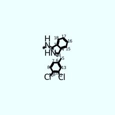 CN[C@@H]1N[C@@H](Cc2ccc(Cl)c(Cl)c2)c2ccccc21